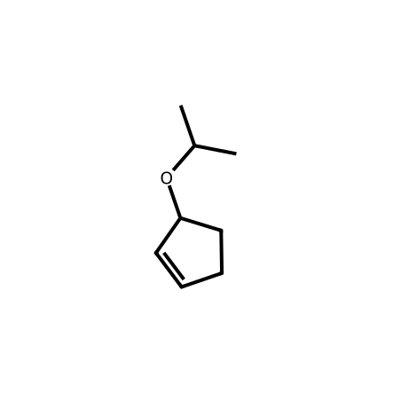 CC(C)OC1C=CCC1